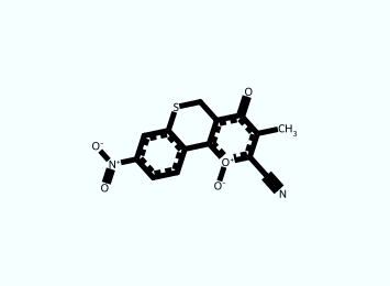 Cc1c(C#N)[o+]([O-])c2c(c1=O)CSc1cc([N+](=O)[O-])ccc1-2